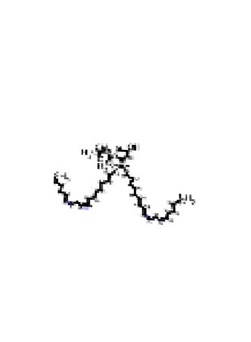 CCCCC/C=C\C/C=C\CCCCCCCCOC(OCCCCCCCC/C=C\C/C=C\CCCCC)[C@@H]1C[C@@H](O)CN1C(=O)OC(C)(C)C